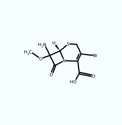 COC1(N)C(=O)N2C(C(=O)O)=C(Br)CS[C@H]21